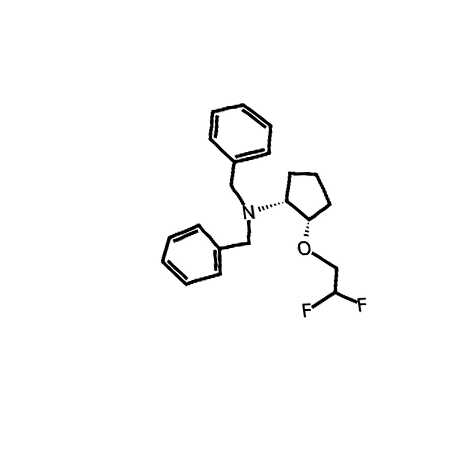 FC(F)CO[C@H]1CCC[C@H]1N(Cc1ccccc1)Cc1ccccc1